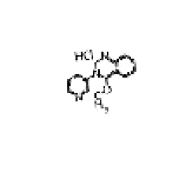 COC1=c2ccccc2=NCN1c1cccnc1.Cl